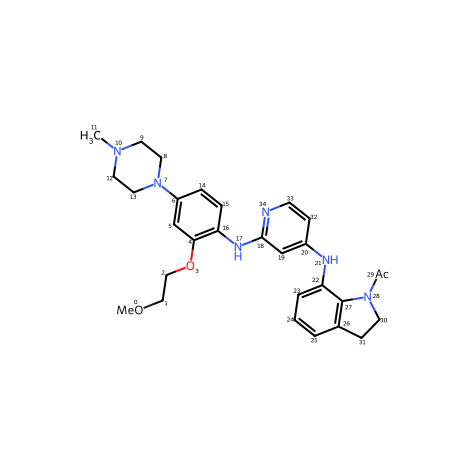 COCCOc1cc(N2CCN(C)CC2)ccc1Nc1cc(Nc2cccc3c2N(C(C)=O)CC3)ccn1